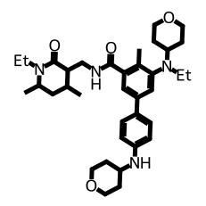 CCN1C(=O)C(CNC(=O)c2cc(-c3ccc(NC4CCOCC4)cc3)cc(N(CC)C3CCOCC3)c2C)C(C)CC1C